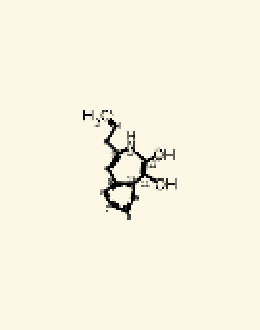 C=CCC1=Cc2ccccc2C(O)=C(O)N1